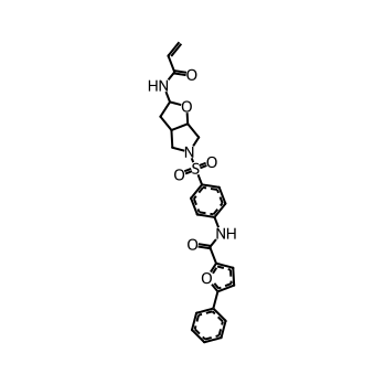 C=CC(=O)NC1CC2CN(S(=O)(=O)c3ccc(NC(=O)c4ccc(-c5ccccc5)o4)cc3)CC2O1